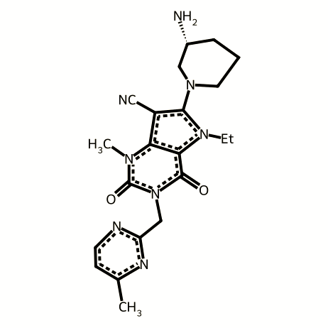 CCn1c(N2CCC[C@@H](N)C2)c(C#N)c2c1c(=O)n(Cc1nccc(C)n1)c(=O)n2C